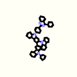 c1ccc(-c2nc(-c3ccc(-n4c5ccccc5c5cc(-c6ccc7c(c6)c6ccccc6n7-c6ccccc6)c(-n6c7ccccc7c7ccccc76)cc54)cc3)nc3ccccc23)cc1